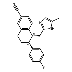 Cc1cnc(C[C@@H]2c3ccc(C#N)cc3CC[C@@H]2c2ccc(F)cc2)[nH]1